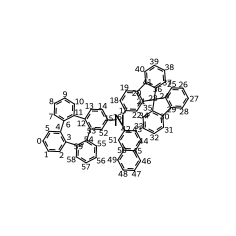 c1ccc2c(c1)-c1ccccc1-c1ccc(N(c3ccc4c(c3)C3(c5ccccc5-c5ccccc53)c3ccccc3-4)c3ccc4ccccc4c3)cc1-c1ccccc1-2